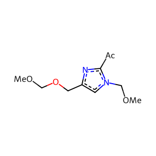 COCOCc1cn(COC)c(C(C)=O)n1